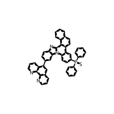 S=P(c1ccccc1)(c1ccccc1)c1ccc2c(c1)c1ccc3ccccc3c1c1nc3ccc(-c4cc5cccnc5c5ncccc45)cc3n21